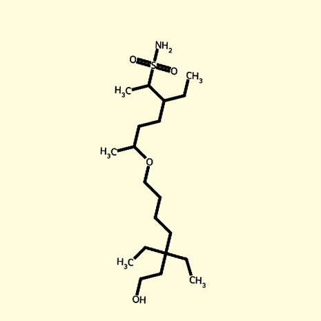 CCC(CCC(C)OCCCCC(CC)(CC)CCO)C(C)S(N)(=O)=O